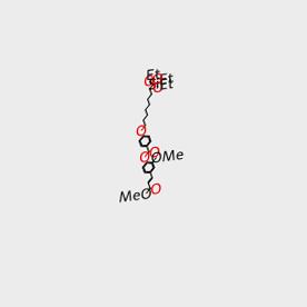 CCO[Si](CCCCCCCCOc1ccc(C(=O)Oc2ccc(/C=C/C(=O)OC)cc2OC)cc1)(OCC)OCC